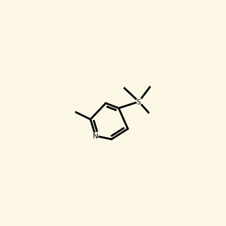 Cc1cc(S(C)(C)C)ccn1